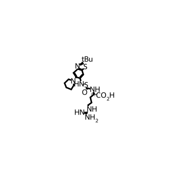 CC(C)(C)c1nc2cc(N3CCCCC3)c(NSC(=O)N[C@@H](CCCNC(=N)N)C(=O)O)cc2s1